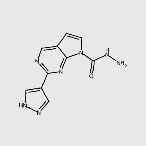 NNC(=O)n1ccc2cnc(-c3cn[nH]c3)nc21